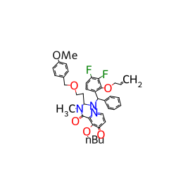 C=CCOc1c(C(c2ccccc2)N2C(CCOCc3ccc(OC)cc3)N(C)C(=O)c3c(OCCCC)c(=O)ccn32)ccc(F)c1F